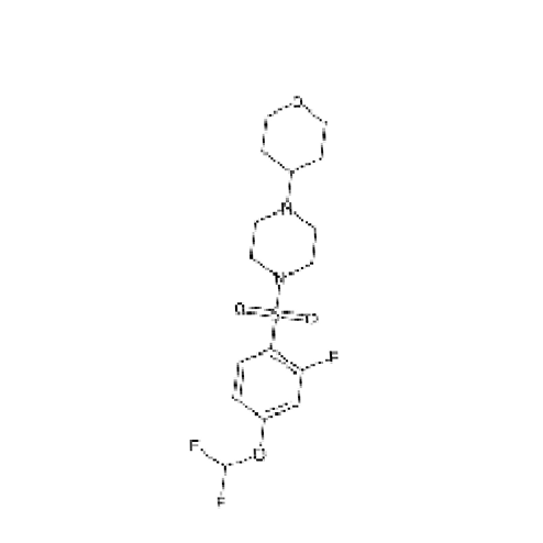 O=S(=O)(c1ccc(OC(F)F)cc1F)N1CCN(C2CCOCC2)CC1